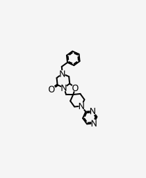 O=C1CN(Cc2ccccc2)CC2OC3(CCN(c4ccncn4)CC3)CN12